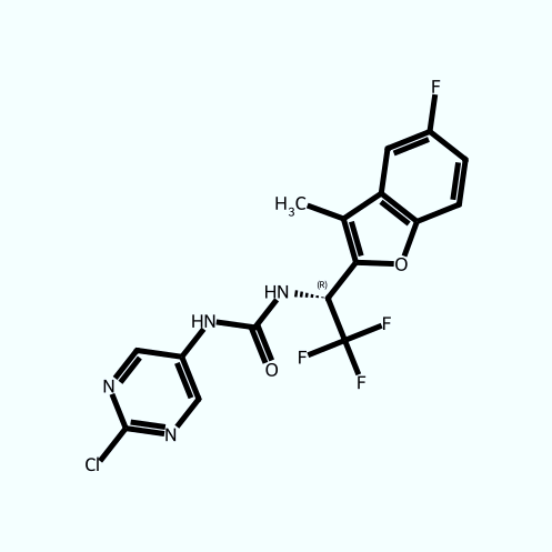 Cc1c([C@@H](NC(=O)Nc2cnc(Cl)nc2)C(F)(F)F)oc2ccc(F)cc12